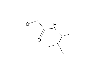 CC(NC(=O)C[O])N(C)C